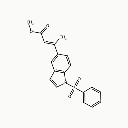 COC(=O)C=C(C)c1ccc2c(ccn2S(=O)(=O)c2ccccc2)c1